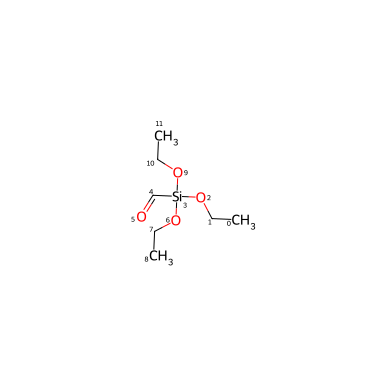 CCO[Si](C=O)(OCC)OCC